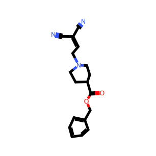 N#CC(C#N)=CCN1CCC(C(=O)OCc2ccccc2)CC1